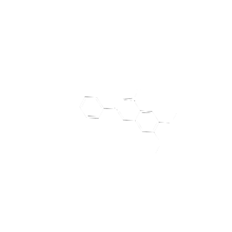 COc1cc(C=Nc2ccccc2)c([N+](=O)[O-])cc1OC